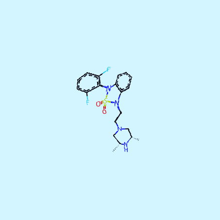 C[C@@H]1CN(CCN2c3ccccc3N(c3c(F)cccc3F)S2(=O)=O)C[C@H](C)N1